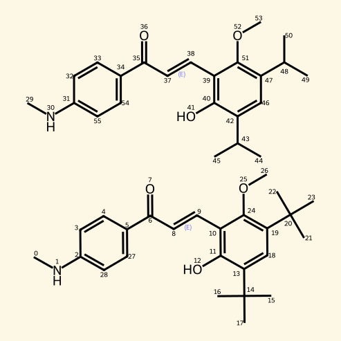 CNc1ccc(C(=O)/C=C/c2c(O)c(C(C)(C)C)cc(C(C)(C)C)c2OC)cc1.CNc1ccc(C(=O)/C=C/c2c(O)c(C(C)C)cc(C(C)C)c2OC)cc1